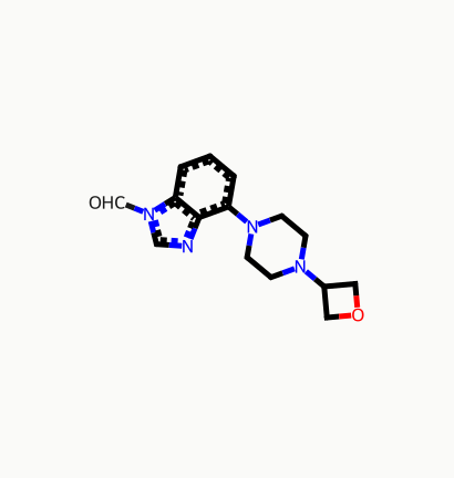 O=Cn1cnc2c(N3CCN(C4COC4)CC3)cccc21